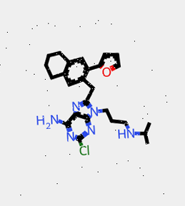 CC(C)NCCCn1c(Cc2cc3c(cc2-c2ccco2)CCCC3)nc2c(N)nc(Cl)nc21